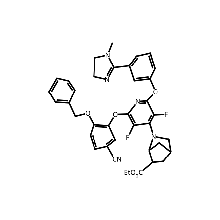 CCOC(=O)C1CC2CC1N(c1c(F)c(Oc3cccc(C4=NCCN4C)c3)nc(Oc3cc(C#N)ccc3OCc3ccccc3)c1F)C2